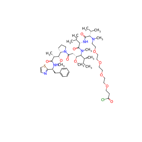 CC[C@H](C)C([C@@H](CC(=O)N1CCC[C@H]1[C@H](OC)[C@@H](C)C(=O)N[C@@H](Cc1ccccc1)c1nccs1)OC)N(C)C(=O)[C@@H](NC(=O)[C@H](C(C)C)N(C)CCOCCOCCOCCOCCC(=O)Cl)C(C)C